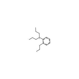 CCC[C](CCC)c1ccccc1CCC